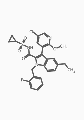 CCc1ccc2c(c1)c(-c1cc(Cl)cnc1OC)c(C(=O)NS(=O)(=O)C1CC1)n2Cc1ccccc1F